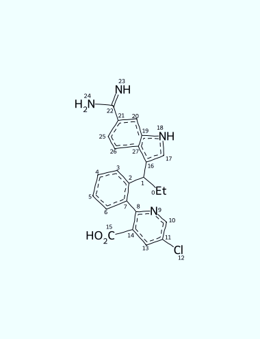 CCC(c1ccccc1-c1ncc(Cl)cc1C(=O)O)c1c[nH]c2cc(C(=N)N)ccc12